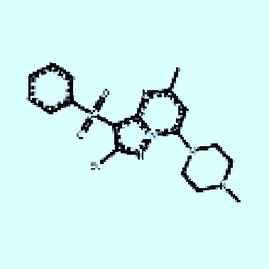 CCc1nn2c(N3CCN(C)CC3)cc(C)nc2c1S(=O)(=O)c1ccccc1